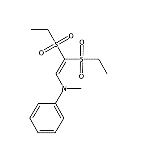 CCS(=O)(=O)C(=CN(C)c1ccccc1)S(=O)(=O)CC